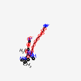 COc1cc(COC(=O)Oc2ccc([N+](=O)[O-])cc2)ccc1NC(=O)[C@H](CCCCNC(c1ccccc1)(c1ccccc1)c1ccc(C)cc1)NC(=O)[C@H](Cc1ccccc1)NC(=O)CCOCCOCCOCCOCCOCCOCCOCCOCCOCCN=[N+]=[N-]